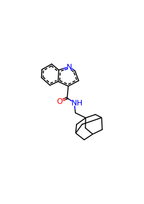 O=C(NCC12CC3CC(CC(C3)C1)C2)c1ccnc2ccccc12